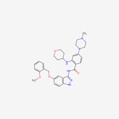 COc1ccccc1COc1ccc2[nH]nc(NC(=O)c3ccc(N4CCN(C)CC4)cc3NC3CCOCC3)c2c1